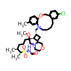 COC(CCC[C@H](C)[C@@H](C)S(=O)(=O)NC=O)(CN1CCOCC1)[C@@H]1CC[C@H]1CN1CCCCc2cc(Cl)ccc2COc2ccc(C)cc21